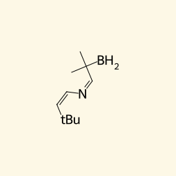 BC(C)(C)/C=N\C=C/C(C)(C)C